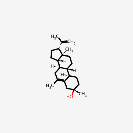 C=C(C)[C@H]1CC[C@H]2[C@@H]3CC(C)=C4C[C@@](C)(O)CC[C@@H]4[C@H]3CC[C@]12C